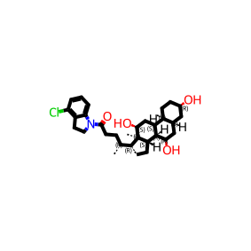 C[C@H](CCC(=O)N1CCc2c(Cl)cccc21)[C@H]1CC[C@H]2[C@@H]3[C@H](O)C[C@@H]4C[C@H](O)CC[C@]4(C)[C@H]3C[C@H](O)[C@]12C